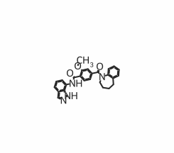 COc1cc(C(=O)N2CCCCc3ccccc32)ccc1C(=O)Nc1cccc2cn[nH]c12